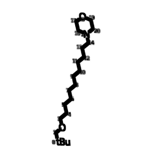 CC(C)(C)COCCCCCCCCCCCCN1CCOCC1